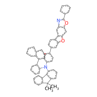 CC1(C)c2ccccc2-c2c(N(c3ccc(-c4ccc5c(c4)oc4cc6oc(-c7ccccc7)nc6cc45)cc3)c3ccccc3-c3cccc4ccccc34)cccc21